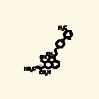 Cc1ccnc(N2CCN(CCc3c(C)n4c5c(cccc35)CC(/C(=C/C(=O)O)C(=O)O)C4CO)CC2)c1